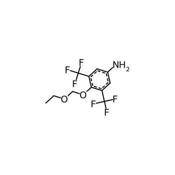 CCOCOc1c(C(F)(F)F)cc(N)cc1C(F)(F)F